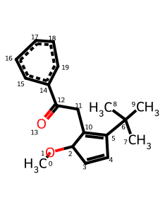 COC1C=CC(C(C)(C)C)=C1CC(=O)c1ccccc1